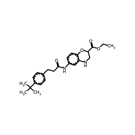 CCOC(=O)C1CNc2cc(NC(=O)CCc3ccc(C(C)(C)C)cc3)ccc2O1